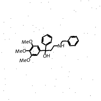 COc1cc(C(O)(CCNCc2ccccc2)c2ccccc2)cc(OC)c1OC